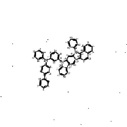 c1ccc(-c2ccc(N(c3ccccc3)c3cccc(-n4c5ccccc5c5cc6c7ccc8ccccc8c7n(-c7ccccc7)c6cc54)c3)cc2)cc1